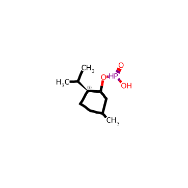 CC1CC[C@@H](C(C)C)C(O[PH](=O)O)C1